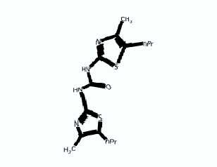 CCCc1sc(NC(=O)Nc2nc(C)c(CCC)s2)nc1C